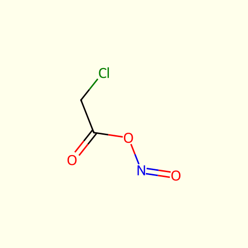 O=NOC(=O)CCl